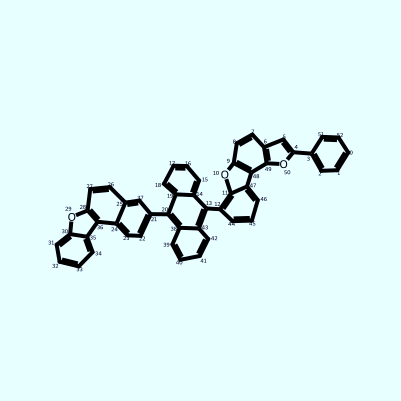 c1ccc(-c2cc3ccc4oc5c(-c6c7ccccc7c(-c7ccc8c(ccc9oc%10ccccc%10c98)c7)c7ccccc67)cccc5c4c3o2)cc1